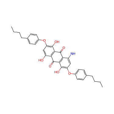 CCCCc1ccc(Oc2cc([NH])c3c(c2O)C(=O)c2c(O)cc(Oc4ccc(CCCC)cc4)c(O)c2C3=O)cc1